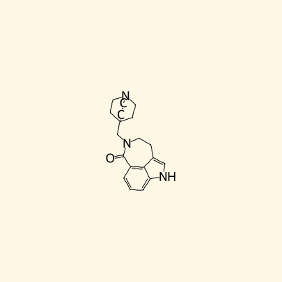 O=C1c2cccc3[nH]cc(c23)CCN1CC12CCN(CC1)CC2